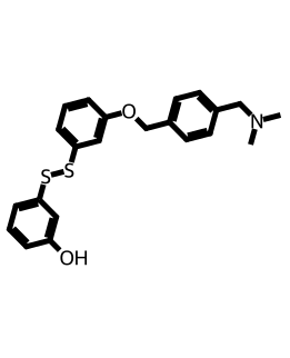 CN(C)Cc1ccc(COc2cccc(SSc3cccc(O)c3)c2)cc1